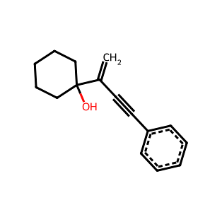 C=C(C#Cc1ccccc1)C1(O)CCCCC1